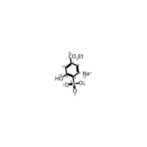 CCOC(=O)c1ccc(S(=O)(=O)[O-])c(O)c1.[Na+]